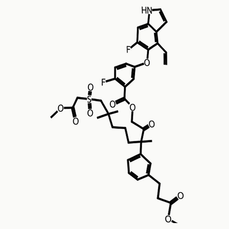 C=Cc1c(Oc2ccc(F)c(C(=O)OCC(=O)C(C)(CCCC(C)(C)CS(=O)(=O)CC(=O)OC)c3cccc(CCC(=O)OC)c3)c2)c(F)cc2[nH]ccc12